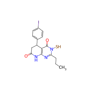 CCCc1nc2c(c(=O)n1S)C(c1ccc(I)cc1)CC(=O)N2